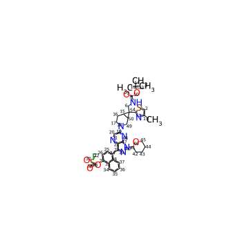 Cc1csc(C2(CNC(=O)OC(C)(C)C)C3CCN(c4cnc5c(-c6ccc(OS(=O)(=O)F)c7ccccc67)nn(C6CCCCO6)c5n4)CC32)n1